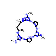 C=C1/C=C\C=C(/C)Nc2nc(NC)nc(n2)Nc2cccc(n2)Nc2nc(NC)nc(n2)Nc2cccc(n2)Nc2nc(NC)nc(n2)N1